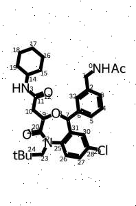 CC(=O)NCc1cccc(C2OC(CC(=O)NC3CCCCC3)C(=O)N(CC(C)(C)C)c3ccc(Cl)cc32)c1